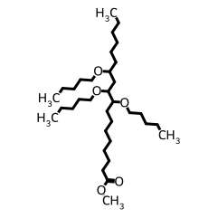 CCCCCCC(CC(OCCCCC)C(CCCCCCCC(=O)OC)OCCCCC)OCCCCC